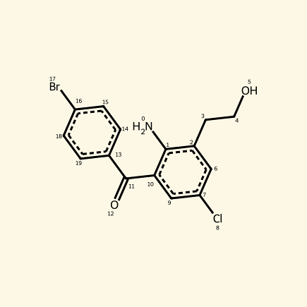 Nc1c(CCO)cc(Cl)cc1C(=O)c1ccc(Br)cc1